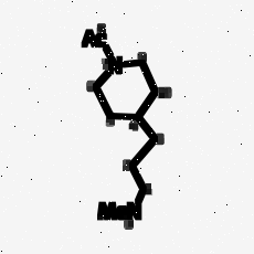 CNCCCC1CCN(C(C)=O)CC1